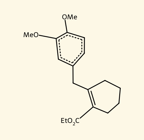 CCOC(=O)C1=C(Cc2ccc(OC)c(OC)c2)CCCC1